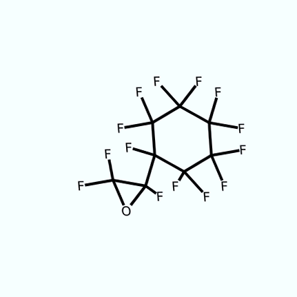 FC1(F)OC1(F)C1(F)C(F)(F)C(F)(F)C(F)(F)C(F)(F)C1(F)F